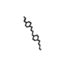 CC=CC1CCC(CCCCC2CCC(CCCCC)CC2)CC1